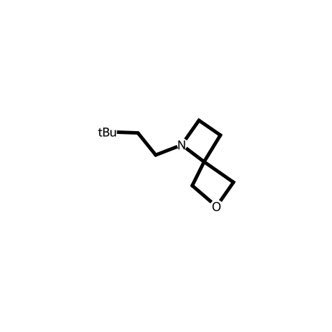 CC(C)(C)CCN1CCC12COC2